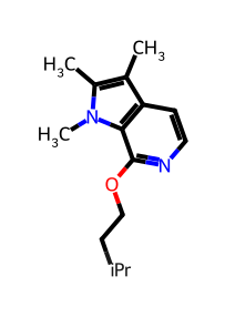 Cc1c(C)n(C)c2c(OCCC(C)C)nccc12